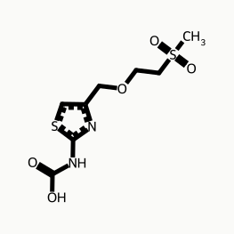 CS(=O)(=O)CCOCc1csc(NC(=O)O)n1